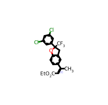 CCOC(=O)/C=C(/C)c1ccc2c(c1)CC(c1cc(Cl)cc(Cl)c1)(C(F)(F)F)O2